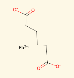 O=C([O-])CCCCC(=O)[O-].[Pb+2]